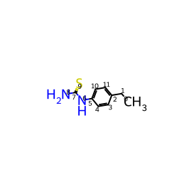 CCc1ccc(NC(N)=S)cc1